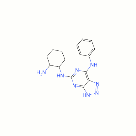 NC1CCCCC1Nc1nc(Nc2ccccc2)c2nn[nH]c2n1